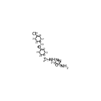 Nc1nnc(CN[C@H]2C[C@@H]2c2ccc(OCc3ccc(Cl)cc3)cc2)o1